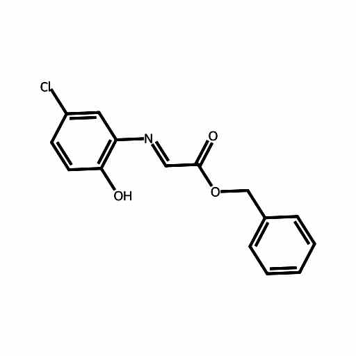 O=C(/C=N/c1cc(Cl)ccc1O)OCc1ccccc1